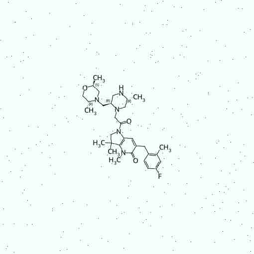 Cc1cc(F)ccc1Cc1cc2c(n(C)c1=O)C(C)(C)CN2C(=O)CN1C[C@@H](C)NC[C@@H]1CN1C[C@H](C)OC[C@H]1C